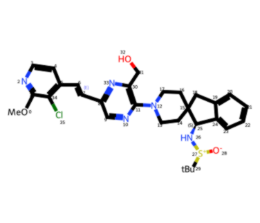 COc1nccc(/C=C/c2cnc(N3CCC4(CC3)Cc3ccccc3[C@H]4N[S+]([O-])C(C)(C)C)c(CO)n2)c1Cl